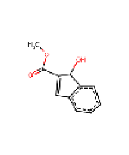 COC(=O)C1=Cc2ccccc2C1O